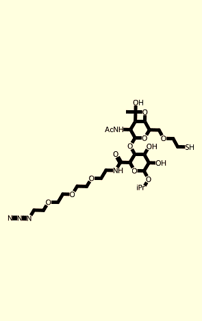 CC(=O)NC1C(OC2C(C(=O)NCCOCCOCCOCCN=[N+]=[N-])OC(OC(C)C)C(O)C2O)OC(COCCS)C2OC(C)(O)C12